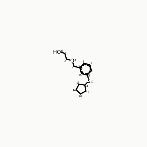 OCCOCc1cccc(SC2CCCC2)c1